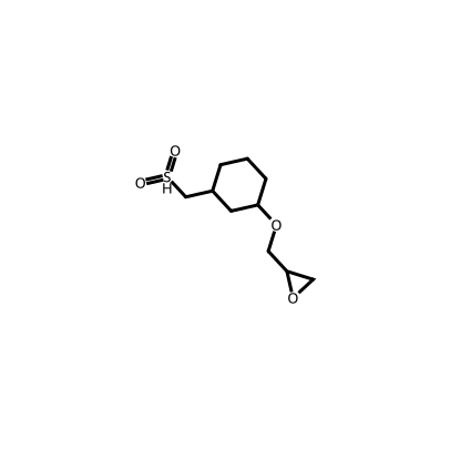 O=[SH](=O)CC1CCCC(OCC2CO2)C1